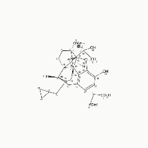 CCCCCCCCCCCC(=O)O.CO[C@@]12CC[C@@]3(C[C@@H]1[C@](C)(O)C(C)(C)C)[C@H]1Cc4ccc(O)c5c4[C@@]3(CCN1CC1CC1)[C@H]2O5